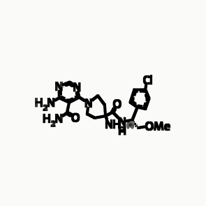 COC[C@H](NC(=O)C1(N)CCN(c2ncnc(N)c2C(N)=O)CC1)c1ccc(Cl)cc1